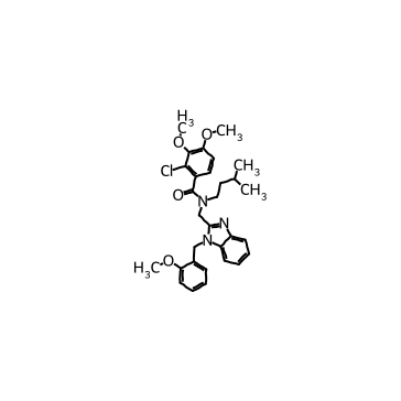 COc1ccccc1Cn1c(CN(CCC(C)C)C(=O)c2ccc(OC)c(OC)c2Cl)nc2ccccc21